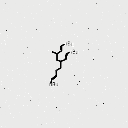 CCCCC=CCCC(C=CCCCC)CC(C)C=CCCCC